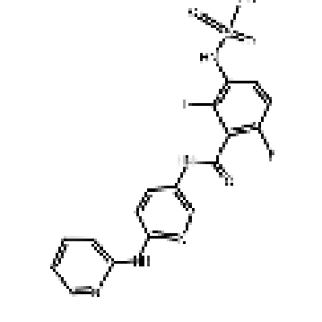 CCCS(=O)(=O)Nc1ccc(F)c(C(=O)Nc2ccc(Nc3ccccn3)nc2)c1F